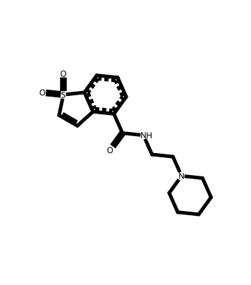 O=C(NCCN1CCCCC1)c1cccc2c1C=CS2(=O)=O